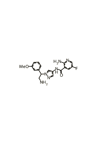 COc1cccc(C(CN)n2cc(NC(=O)c3cc(F)cnc3N)cn2)c1